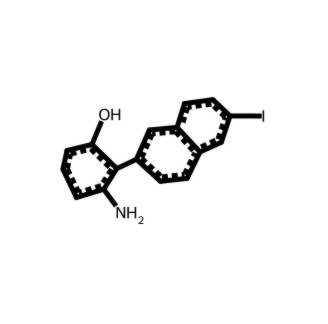 Nc1cccc(O)c1-c1ccc2cc(I)ccc2c1